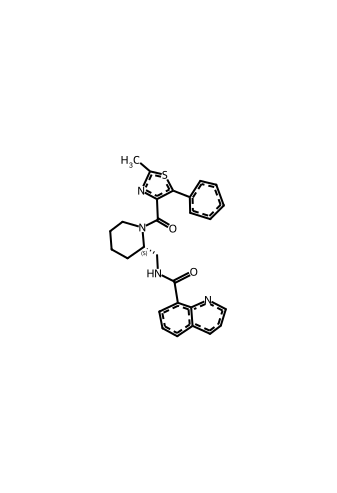 Cc1nc(C(=O)N2CCCC[C@H]2CNC(=O)c2cccc3cccnc23)c(-c2ccccc2)s1